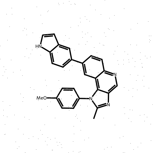 COc1ccc(-n2c(C)nc3cnc4ccc(-c5ccc6[nH]ccc6c5)cc4c32)cc1